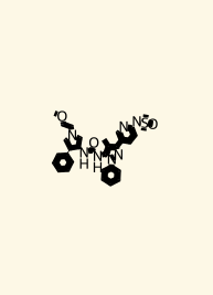 COCCN1C[C@@H](NC(=O)Nc2c(C)c(-c3ccc(N=S(C)(C)=O)nc3)nn2-c2ccccc2)[C@H](c2ccccc2)C1